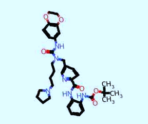 CC(C)(C)OC(=O)Nc1ccccc1NC(=O)c1ccc(CN(CCCCN2CCCC2)C(=O)Nc2ccc3c(c2)OCCO3)cn1